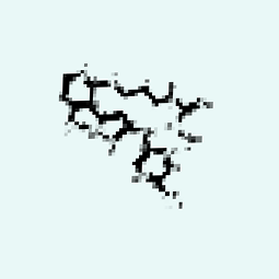 COc1ccnc(OCCCNC(=O)OC(C)(C)C)c1-c1cc(Nc2cnc(C(F)(F)F)cn2)n[nH]1